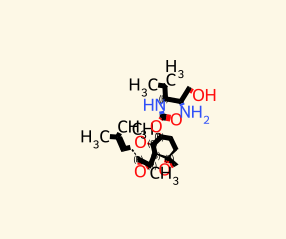 CO[C@@H]1[C@H](OC(=O)N[C@H](C(C)C)C(N)CO)CC[C@]2(CO2)[C@H]1[C@@]1(C)O[C@@H]1CC=C(C)C